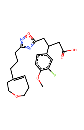 COc1ccc(C(CC(=O)O)Cc2nc(CCCC3=CCCOCC3)no2)cc1F